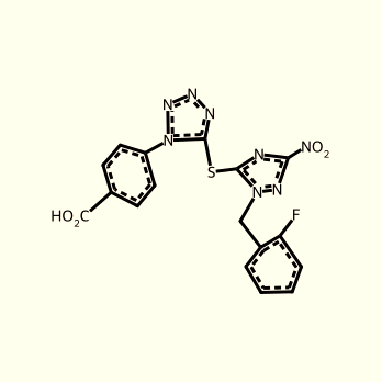 O=C(O)c1ccc(-n2nnnc2Sc2nc([N+](=O)[O-])nn2Cc2ccccc2F)cc1